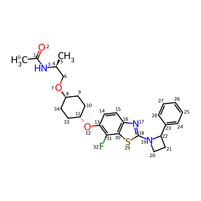 CC(=O)N[C@@H](C)CO[C@H]1CC[C@H](Oc2ccc3nc(N4CCC4c4ccccc4)sc3c2F)CC1